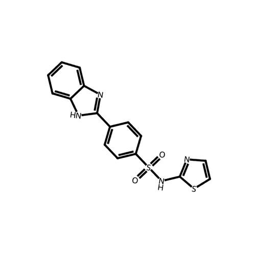 O=S(=O)(Nc1nccs1)c1ccc(-c2nc3ccccc3[nH]2)cc1